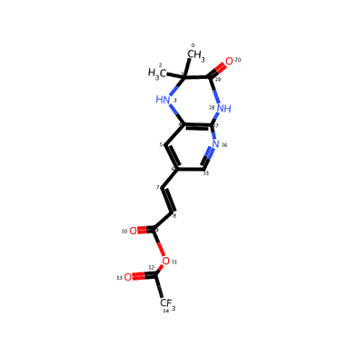 CC1(C)Nc2cc(/C=C/C(=O)OC(=O)C(F)(F)F)cnc2NC1=O